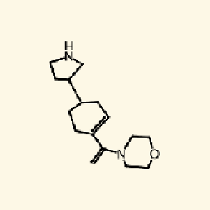 C=C(C1=CCC(C2CCNC2)CC1)N1CCOCC1